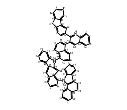 c1ccc2nc(-c3ccc4sc5ccccc5c4c3)c(-c3cccc4c(-n5c6ccccc6c6cc7cccc(-n8c9ccccc9c9ccc%10ccccc%10c98)c7cc65)cccc34)cc2c1